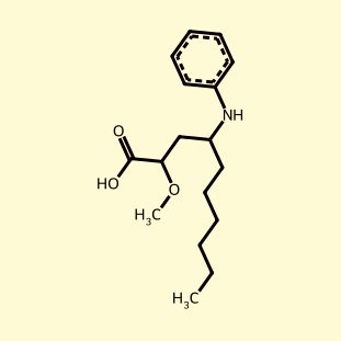 CCCCCCC(CC(OC)C(=O)O)Nc1ccccc1